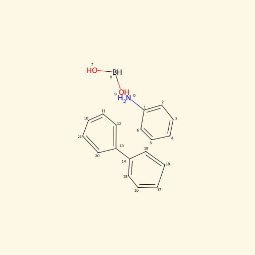 Nc1ccccc1.OBO.c1ccc(-c2ccccc2)cc1